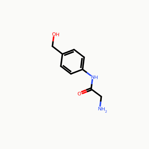 NCC(=O)Nc1ccc(CO)cc1